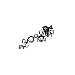 COc1c(Nc2c(Cl)cc3cc2[SH]3(=O)C2CC2)ncnc1OC1CCN(C(=O)OC(C)C)CC1